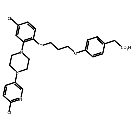 O=C(O)Cc1ccc(OCCCOc2ccc(Cl)cc2N2CCN(c3ccc(Cl)nc3)CC2)cc1